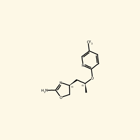 C[C@@H](C[C@H]1COC(N)=N1)Oc1ccc(C(F)(F)F)cn1